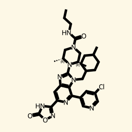 CCCNC(=O)N1C[C@@H](C)N(c2nc3cc(-c4noc(=O)[nH]4)nc(-c4cncc(Cl)c4)c3n2CC2CCC(C)CC2)[C@H](C)C1